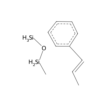 CC=Cc1ccccc1.C[SiH2]O[SiH3]